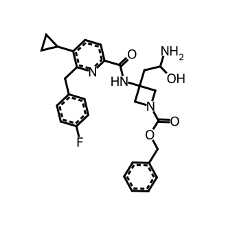 NC(O)CC1(NC(=O)c2ccc(C3CC3)c(Cc3ccc(F)cc3)n2)CN(C(=O)OCc2ccccc2)C1